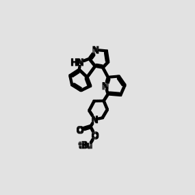 CC(C)(C)OC(=O)N1CCC(c2cccc(-c3ccnc4[nH]c5ccccc5c34)n2)CC1